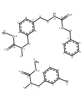 CN(Cc1cccc(Br)c1)C(=O)OC(C)(C)C.CN(Cc1cccc(CCNC(=O)OCc2ccccc2)c1)C(=O)OC(C)(C)C